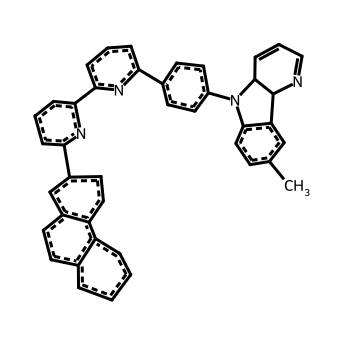 Cc1ccc2c(c1)C1N=CC=CC1N2c1ccc(-c2cccc(-c3cccc(-c4ccc5c(ccc6ccccc65)c4)n3)n2)cc1